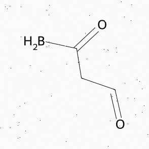 BC(=O)CC=O